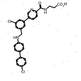 O=C(O)CCNC(=O)c1ccc(-c2cc(Cl)cc(CNc3ccc(-c4ccc(Cl)cc4)cc3)c2)cn1